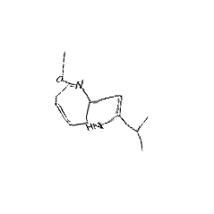 COC1=NC2C=C(C(C)C)NC2C=C1